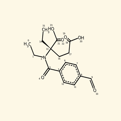 CCN(C(=O)c1ccc(C=O)cc1)[C@@](CC)(CCC(=O)O)C(=O)O